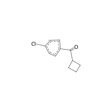 O=C(c1c[c]c(Cl)cc1)C1CCC1